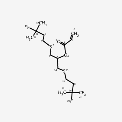 C=CC(=O)OC(CSCCC(C)(C)F)CSCCC(C)(F)C(F)(F)F